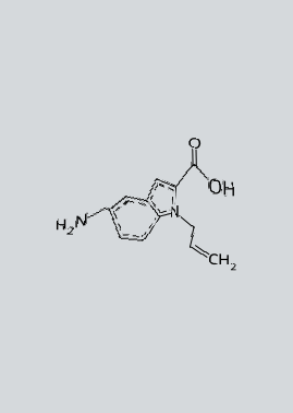 C=CCn1c(C(=O)O)cc2cc(N)ccc21